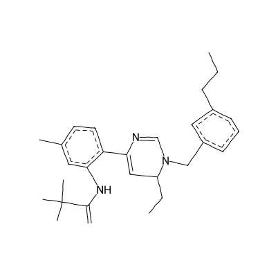 C=C(Nc1cc(C)ccc1C1=CC(CC)N(Cc2cccc(CCC)c2)C=N1)C(C)(C)C